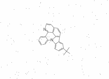 CC(C)(C)c1ccc2c(c1)c1ccc3ccnc4c5ccccc5n2c1c34